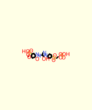 COc1cc(OC)c(S(=O)(=O)O)cc1/N=N/c1cnn(-c2ccc(S(=O)(=O)CCOS(=O)(=O)O)cc2)c1O